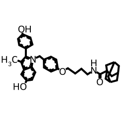 Cc1c(-c2ccc(O)cc2)n(Cc2ccc(OCCCCNC(=O)C34CC5CC(CC(C5)C3)C4)cc2)c2ccc(O)cc12